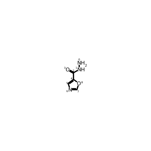 NNC(=O)c1cnco1